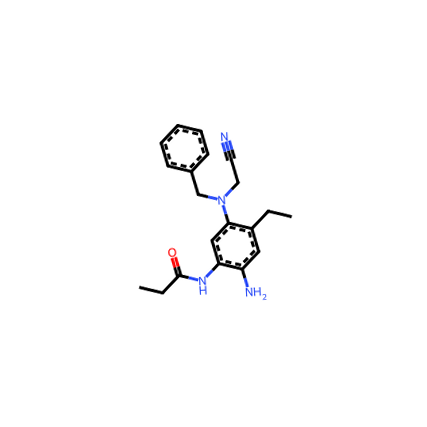 CCC(=O)Nc1cc(N(CC#N)Cc2ccccc2)c(CC)cc1N